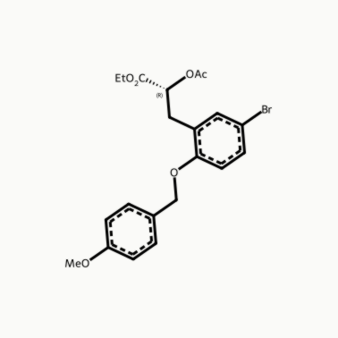 CCOC(=O)[C@@H](Cc1cc(Br)ccc1OCc1ccc(OC)cc1)OC(C)=O